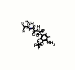 CN[C@H](/C=C(\C)C(=O)NS(=O)(=O)c1ccc(N)c(OC(F)(F)F)c1)C(C)C